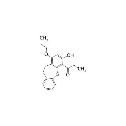 CCCOc1cc(O)c(C(=O)CC)c2c1CCc1ccccc1S2